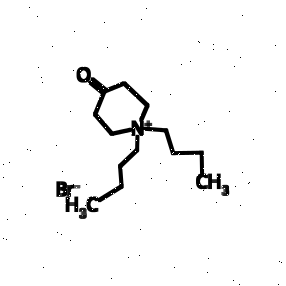 CCCC[N+]1(CCCC)CCC(=O)CC1.[Br-]